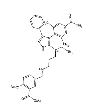 COC(=O)c1cc(CNCCC[C@H](CN)c2[nH]cc(-c3ccccc3)[n+]2-c2c(C)cc(C(N)=O)cc2C)ccc1OC